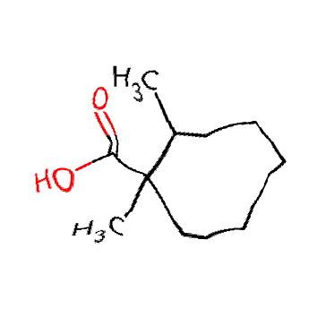 CC1CCCCC1(C)C(=O)O